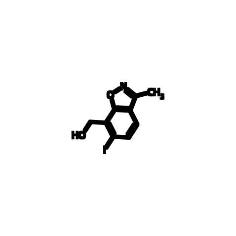 Cc1noc2c(CO)c(I)ccc12